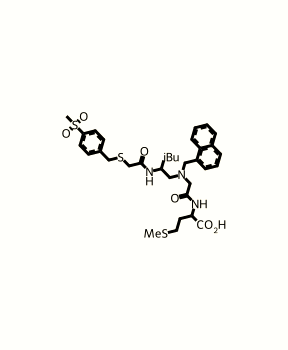 CCC(C)C(CN(CC(=O)NC(CCSC)C(=O)O)Cc1cccc2ccccc12)NC(=O)CSCc1ccc(S(C)(=O)=O)cc1